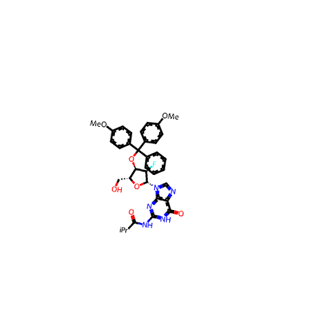 COc1ccc(C(O[C@H]2[C@@H](F)[C@H](n3cnc4c(=O)[nH]c(NC(=O)C(C)C)nc43)O[C@@H]2CO)(c2ccccc2)c2ccc(OC)cc2)cc1